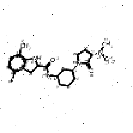 Cc1ccc(F)c2c1NC(C(=O)N[C@@H]1CCC[C@H](N3CC[C@H](N(C)C)C3=O)C1)C2